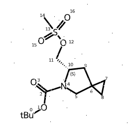 CC(C)(C)OC(=O)N1CC2(CC2)C[C@H]1COS(C)(=O)=O